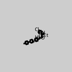 CCc1nc2cc(Cl)ccn2c1C(=O)NCc1ccc(N2CCC(c3ccc(C)cc3)CC2)cc1